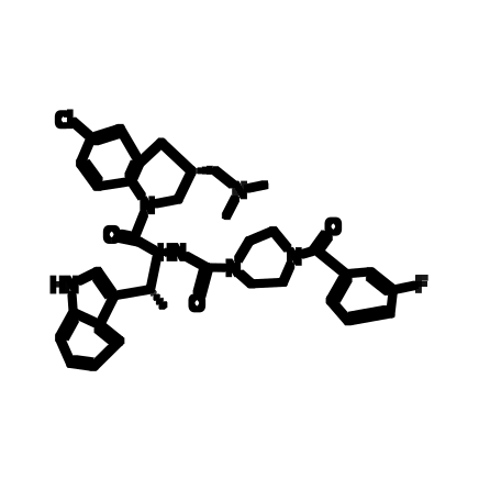 C[C@H](c1c[nH]c2ccccc12)[C@@H](NC(=O)N1CCN(C(=O)c2cccc(F)c2)CC1)C(=O)N1C[C@@H](CN(C)C)Cc2cc(Cl)ccc21